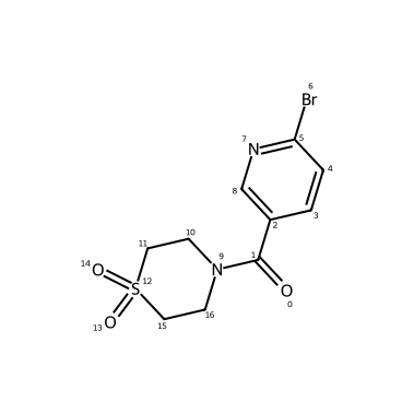 O=C(c1ccc(Br)nc1)N1CCS(=O)(=O)CC1